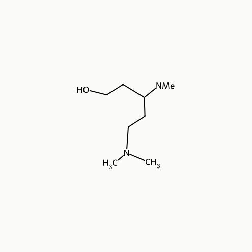 CNC(CCO)CCN(C)C